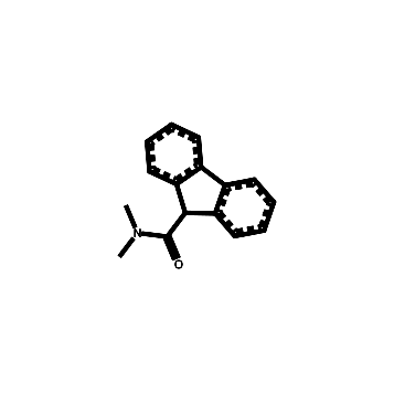 CN(C)C(=O)C1c2ccccc2-c2ccccc21